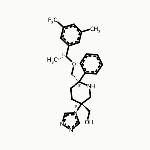 Cc1cc([C@@H](C)OC[C@@]2(c3ccccc3)CC[C@@](CO)(n3cnnc3)CN2)cc(C(F)(F)F)c1